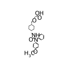 COc1ccc(N(C(=O)NC[C@H]2CC[C@H](COCC(=O)O)CC2)c2ccccc2)cc1